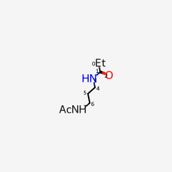 CCC(=O)NCCCNC(C)=O